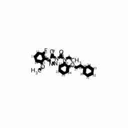 CCN(C(=O)n1nnn(-c2c(F)cccc2OC)c1=O)c1ccccc1OCCc1ccccc1